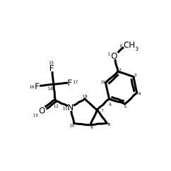 COc1cccc(C23CC2CN(C(=O)C(F)(F)F)C3)c1